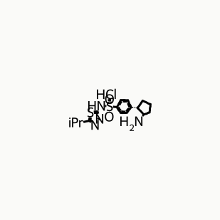 CC(C)c1nnc(NS(=O)(=O)c2ccc([C@@H]3CCC[C@H]3N)cc2)s1.Cl